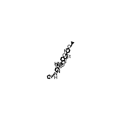 CC[C@@H](Oc1ccc(C(=O)NS(=O)(=O)c2ccc(NCCN3CCCC3)nc2)c(F)c1F)c1ccc(OCC2CC2)cn1